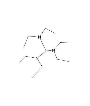 CCN(CC)C(N(CC)CC)N(CC)CC